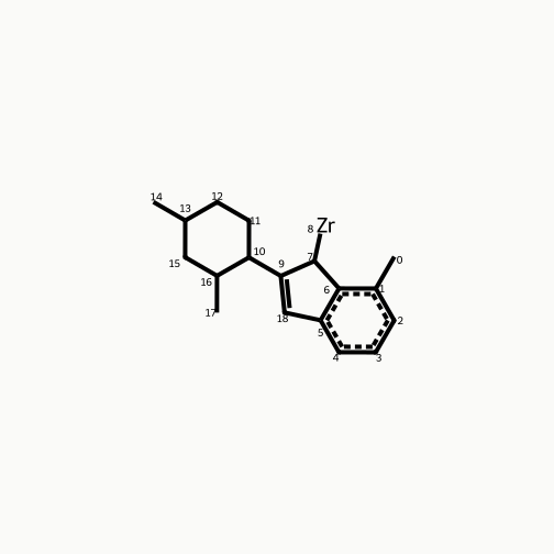 Cc1cccc2c1[CH]([Zr])C(C1CCC(C)CC1C)=C2